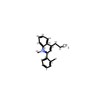 Cc1ccccc1-c1cc(CCC(F)(F)F)c2ccccc2[n+]1C